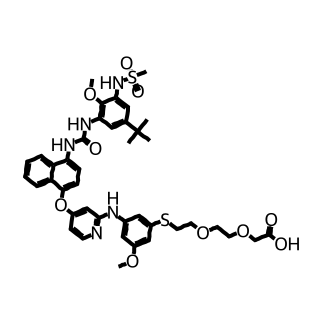 COc1cc(Nc2cc(Oc3ccc(NC(=O)Nc4cc(C(C)(C)C)cc(NS(C)(=O)=O)c4OC)c4ccccc34)ccn2)cc(SCCOCCOCC(=O)O)c1